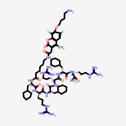 Cc1c(CC(=O)NCCCCCC(=O)N[C@H](CC2CCCCC2)C(=O)N[C@H](CCCNC(=N)N)C(=O)N[C@H](CC2CCCCC2)C(=O)N[C@H](CCCNC(=N)N)C(=O)N[C@H](CC2CCCCC2)C(=O)N[C@H](CCCNC(=N)N)C(N)=O)c(=O)oc2c(F)c(OCCCCN)c(F)cc12